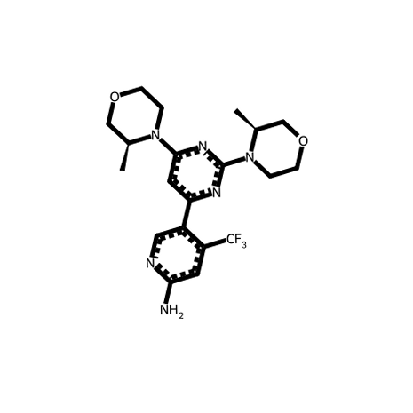 C[C@H]1COCCN1c1cc(-c2cnc(N)cc2C(F)(F)F)nc(N2CCOC[C@@H]2C)n1